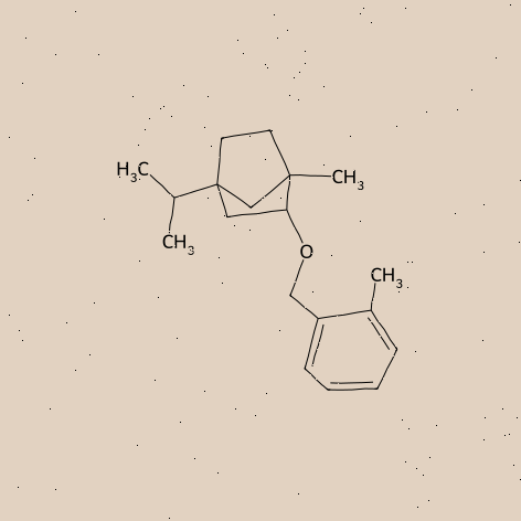 Cc1ccccc1COC1CC2(C(C)C)CCC1(C)C2